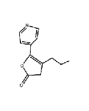 CCCC1=C(c2ccncc2)OC(=O)C1